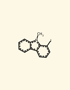 Cn1c2ccccc2c2cccc(I)c21